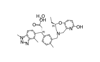 CC[C@@H]1CN(Cc2cc([C@@H](CC(=O)O)c3ccc4c(nnn4C)c3C)ccc2C)Cc2nc(O)ccc2O1.O